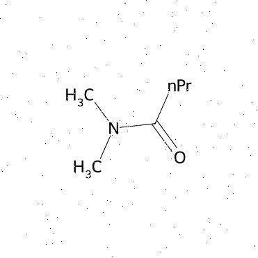 [CH2]CCC(=O)N(C)C